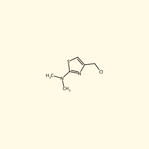 CN(C)c1nc(CCl)cs1